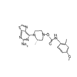 COc1ccc(NC(=O)ON2CCN(c3nc(N)nc4scnc34)[C@@H](C)C2)c(C)c1